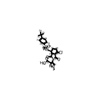 Cn1cc(N2C(=O)c3c(Cl)ccc(NS(=O)(=O)c4ccc(C(C)(C)C)cc4)c3C2=O)c(C(=O)O)n1